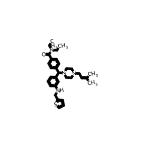 CCN(CC)C(=O)c1ccc(C(c2cccc(NCc3cccs3)c2)N2CCN(CC=C(C)C)CC2)cc1